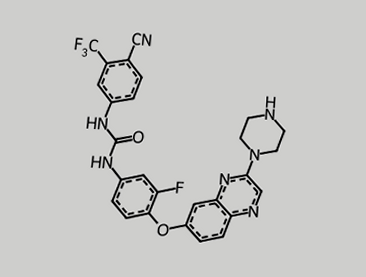 N#Cc1ccc(NC(=O)Nc2ccc(Oc3ccc4ncc(N5CCNCC5)nc4c3)c(F)c2)cc1C(F)(F)F